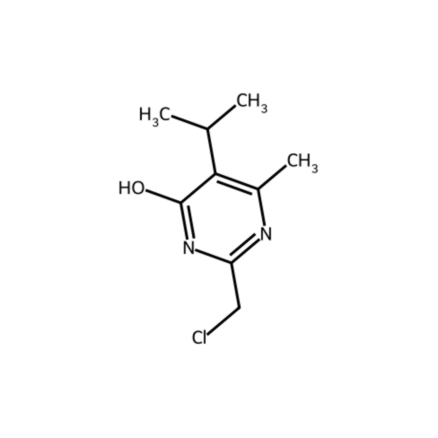 Cc1nc(CCl)nc(O)c1C(C)C